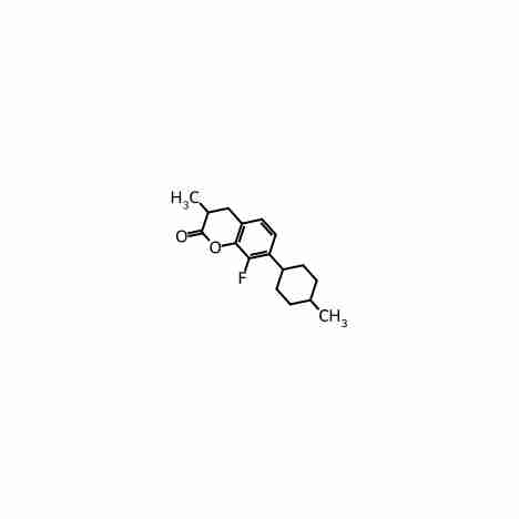 CC1CCC(c2ccc3c(c2F)OC(=O)C(C)C3)CC1